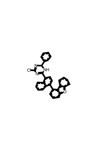 ClC1=NC(c2ccccc2)NC(c2ccc(-c3cccc4oc5ccccc5c34)c3ccccc23)=N1